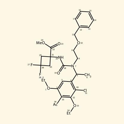 CCOc1cc(C(C)N(CCOCc2ccccc2)C(=O)NC2(C(=O)OC)CC(F)(F)C2)c(Cl)c(OCC)c1C(C)=O